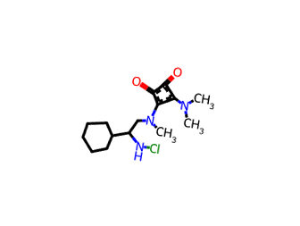 CN(C)c1c(N(C)CC(NCl)C2CCCCC2)c(=O)c1=O